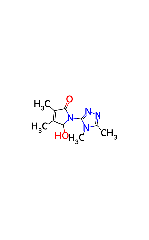 CC1=C(C)C(O)N(c2nnc(C)n2C)C1=O